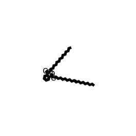 CCCCCCCCC=CCCCCCCCCOC(=O)c1ccccc1C(=O)OCCCCCCCCCCCCCC